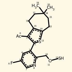 CC(=O)c1c(-c2cc(F)cnc2COS)sc2c1CCC(C)(C)CC2